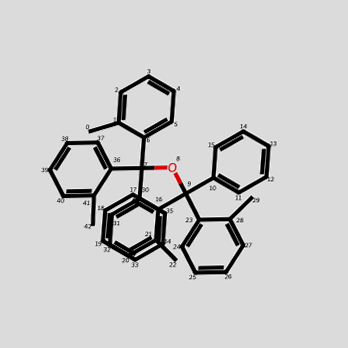 Cc1ccccc1C(OC(c1ccccc1)(c1ccccc1C)c1ccccc1C)(c1ccccc1)c1ccccc1C